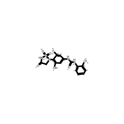 O=C1CN(c2c(O)cc(NC(=O)Nc3ccccc3C(F)(F)F)cc2F)S(=O)(=O)N1